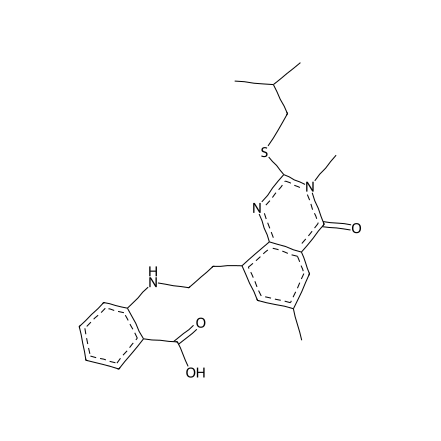 Cc1cc(CCNc2ccccc2C(=O)O)c2nc(SCC(C)C)n(C)c(=O)c2c1